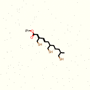 CC(CS)CCCC(CS)CC=CC(=CC(=O)OC(C)C)CS